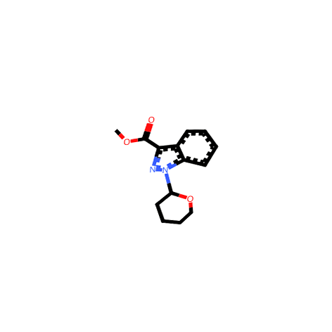 COC(=O)c1nn(C2CCCCO2)c2ccccc12